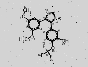 COc1cc(OC)cc(-c2nc[nH]c2-c2ccc(OC(F)(F)F)c(O)c2)c1